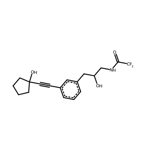 O=C(NCC(O)Cc1cccc(C#CC2(O)CCCC2)c1)C(F)(F)F